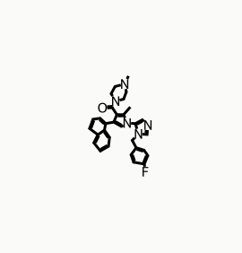 Cc1c(C(=O)N2CCN(C)CC2)c(-c2cccc3ccccc23)cn1-c1cncn1Cc1ccc(F)cc1